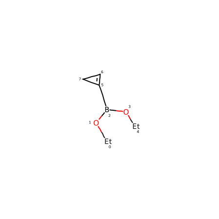 CCOB(OCC)C1=CC1